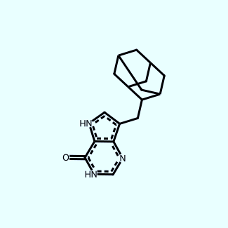 O=c1[nH]cnc2c(CC3C4CC5CC(C4)CC3C5)c[nH]c12